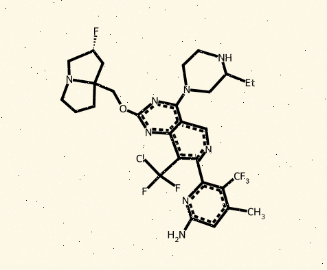 CCC1CN(c2nc(OCC34CCCN3C[C@H](F)C4)nc3c(C(F)(F)Cl)c(-c4nc(N)cc(C)c4C(F)(F)F)ncc23)CCN1